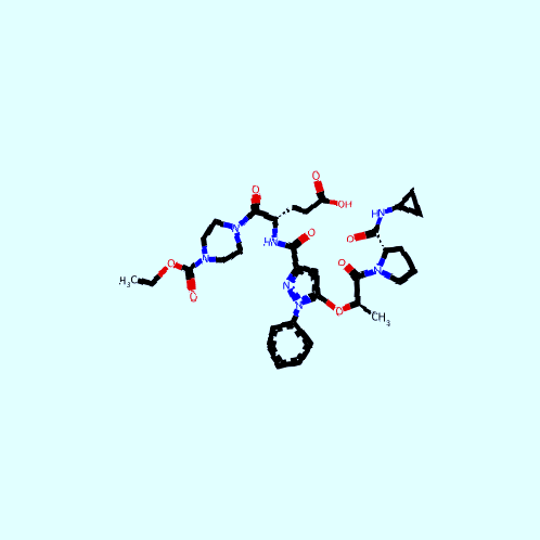 CCOC(=O)N1CCN(C(=O)[C@H](CCC(=O)O)NC(=O)c2cc(O[C@H](C)C(=O)N3CCC[C@H]3C(=O)NC3CC3)n(-c3ccccc3)n2)CC1